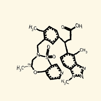 Cc1ccc(C(CC(=O)O)c2ccc3c(nnn3C)c2C)cc1CN1C[C@@H](C)Oc2ccncc2S1(=O)=O